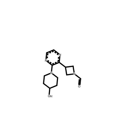 O=CN1CC(c2nccnc2N2CCC(O)CC2)C1